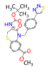 COC(=O)c1ccc2c(c1)N(Cc1ccc(-c3csnn3)cc1)C(=O)[C@@H](NC(=O)OC(C)(C)C)CS2